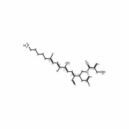 C=C\C(=C/C=C(CC)/C(C)=C/C=C(\C)CCCCCP)C(COC(=O)C(=C)CO)CC(=C)C